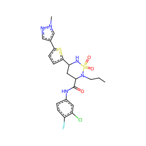 CCCN1C(C(=O)Nc2ccc(F)c(Cl)c2)CC(c2ccc(-c3cnn(C)c3)s2)NS1(=O)=O